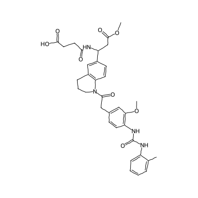 COC(=O)CC(NC(=O)CCC(=O)O)c1ccc2c(c1)CCCN2C(=O)Cc1ccc(NC(=O)Nc2ccccc2C)c(OC)c1